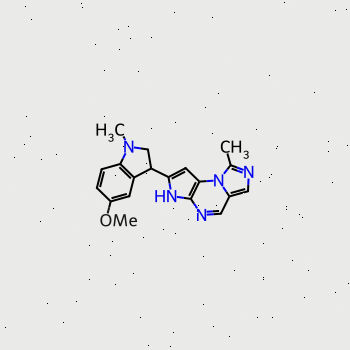 COc1ccc2c(c1)C(c1cc3c(ncc4cnc(C)n43)[nH]1)CN2C